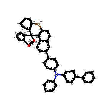 c1ccc(-c2ccc(N(c3ccccc3)c3ccc(-c4ccc5c6c(ccc5c4)Sc4ccccc4C64c5ccccc5-c5ccccc54)cc3)cc2)cc1